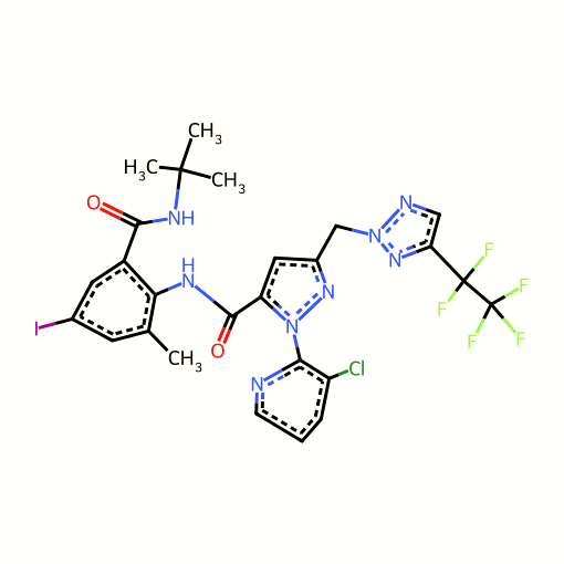 Cc1cc(I)cc(C(=O)NC(C)(C)C)c1NC(=O)c1cc(Cn2ncc(C(F)(F)C(F)(F)F)n2)nn1-c1ncccc1Cl